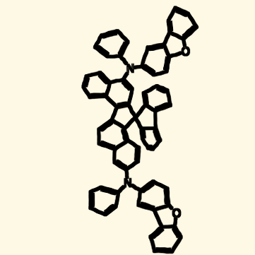 c1ccc(N(c2ccc3c4c(ccc3c2)-c2c(cc(N(c3ccccc3)c3ccc5oc6ccccc6c5c3)c3ccccc23)C42c3ccccc3-c3ccccc32)c2ccc3oc4ccccc4c3c2)cc1